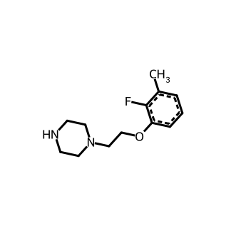 Cc1cccc(OCCN2CCNCC2)c1F